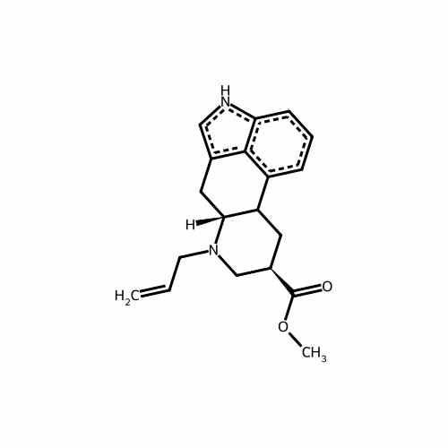 C=CCN1C[C@H](C(=O)OC)CC2c3cccc4[nH]cc(c34)C[C@H]21